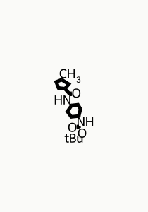 CC1CCC(C(=O)N[C@H]2CC[C@H](NC(=O)OC(C)(C)C)CC2)C1